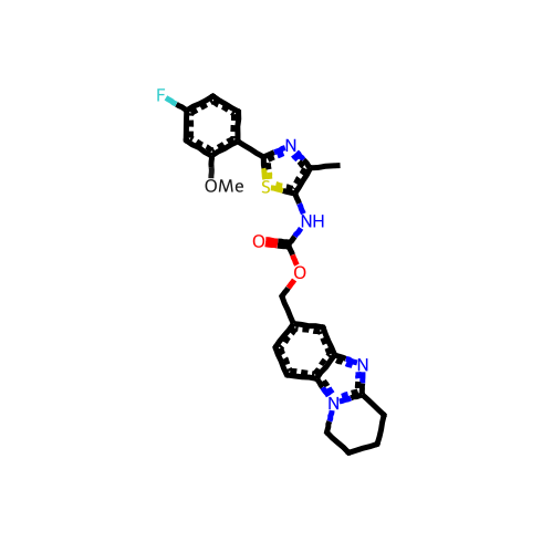 COc1cc(F)ccc1-c1nc(C)c(NC(=O)OCc2ccc3c(c2)nc2n3CCCC2)s1